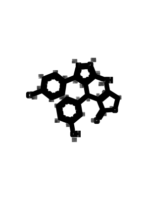 O=C1OCC2=C1C(c1cccc(O)c1)c1c(-c3ccc(Cl)cc3)noc1N2